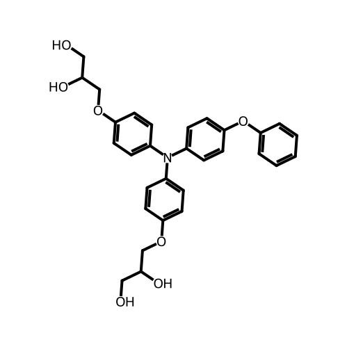 OCC(O)COc1ccc(N(c2ccc(OCC(O)CO)cc2)c2ccc(Oc3ccccc3)cc2)cc1